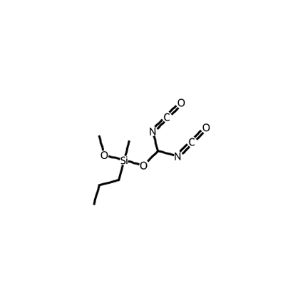 CCC[Si](C)(OC)OC(N=C=O)N=C=O